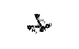 Cc1cc(C)cc(C[SiH2]CCOCN(COCC[SiH2]Cc2cc(C)cc(C)c2)c2cc(C3CCC(=O)CC3)nc3ccnn23)c1